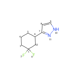 FC1(F)CCCC(c2c[c][nH]n2)C1